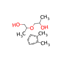 CC(O)COC(C)CO.Cc1ccccc1C